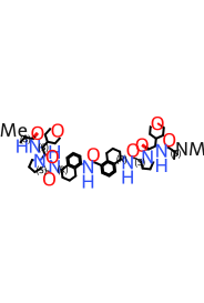 CN[C@@H](C)C(=O)NC(C(=O)N1CCC[C@H]1C(=O)N[C@@H]1CCCc2c(C(=O)Nc3cccc4c3CCC[C@H]4NC(=O)[C@@H]3CCCN3C(=O)[C@@H](NC(=O)[C@H](C)NC)C3CCOCC3)cccc21)C1CCOCC1